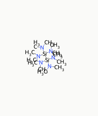 CN(C)[Si](N(C)C)(N(C)C)[Si](N(C)C)(N(C)C)N(C)C